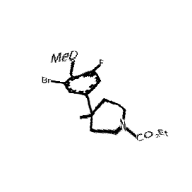 CCOC(=O)N1CCC(C)(c2cc(F)c(OC)c(Br)c2)CC1